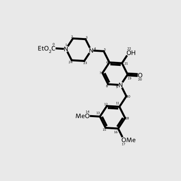 CCOC(=O)N1CCN(Cc2ccn(Cc3cc(OC)cc(OC)c3)c(=O)c2O)CC1